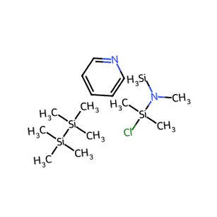 CN([SiH3])[Si](C)(C)Cl.C[Si](C)(C)[Si](C)(C)C.c1ccncc1